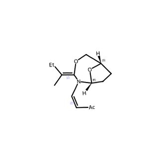 CC/C(C)=C1\OC[C@@H]2CC[C@@H](O2)N1/C=C\C(C)=O